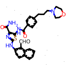 NC(=O)c1nc(Nc2ccc3ccccc3c2C=O)sc1NC(=O)c1ccc(CCCN2CCOCC2)cc1